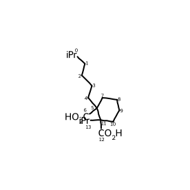 CC(C)CCCCC1(C(=O)O)CCCCC1(C(=O)O)C(C)C